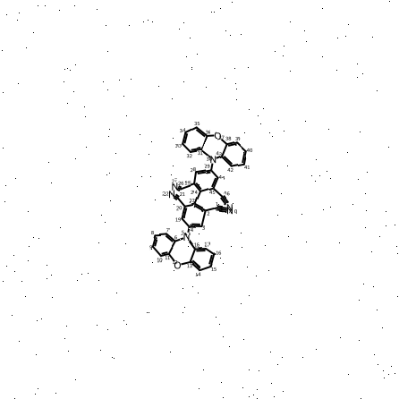 N#Cc1cc(N2c3ccccc3Oc3ccccc32)cc(C#N)c1-c1c(C#N)cc(N2c3ccccc3Oc3ccccc32)cc1C#N